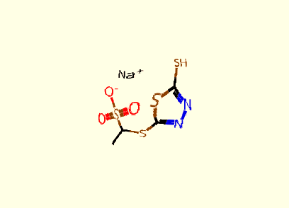 CC(Sc1nnc(S)s1)S(=O)(=O)[O-].[Na+]